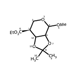 CCOC(=O)[C@H]1COC(OC)C2OC(C)(C)OC21